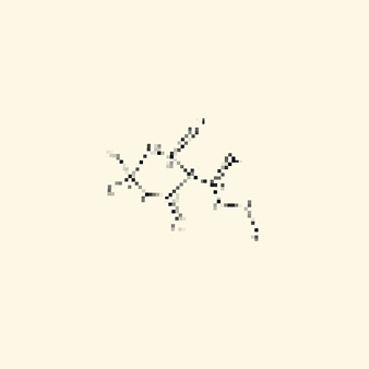 CCCC(=O)C1C(=O)CC(C)(C)SC1=O